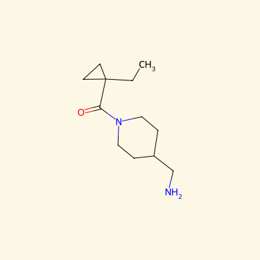 CCC1(C(=O)N2CCC(CN)CC2)CC1